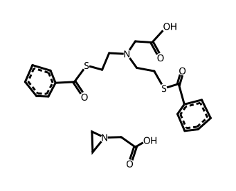 O=C(O)CN(CCSC(=O)c1ccccc1)CCSC(=O)c1ccccc1.O=C(O)CN1CC1